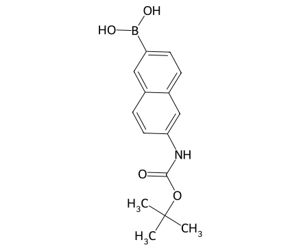 CC(C)(C)OC(=O)Nc1ccc2cc(B(O)O)ccc2c1